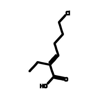 CC/C(=C\CCCCl)C(=O)O